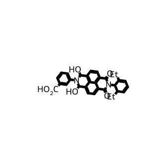 CCC1=CC=CC(CC)C1N1C(=O)c2ccc3c4c(ccc(c24)C1=O)C(O)N(c1cccc(C(=O)O)c1)C3O